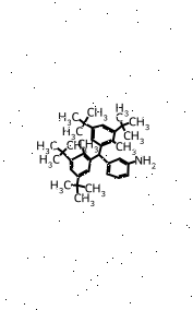 Cc1c(C(c2cccc(N)c2)c2cc(C(C)(C)C)cc(C(C)(C)C)c2C)cc(C(C)(C)C)cc1C(C)(C)C